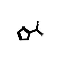 FC(F)C1=NC=CC1